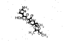 C=CC1(C(=O)OC(C)C(=O)OCC)CS[C@@H]2C(NC(=O)C(=NO)c3csc(N)n3)C(=O)N2C1